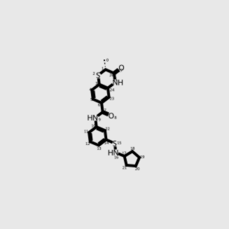 C[C@H]1Sc2ccc(C(=O)Nc3cccc(SNC4CCCC4)c3)cc2NC1=O